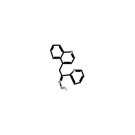 N/N=C(/Cc1ccnc2ccccc12)c1ccccn1